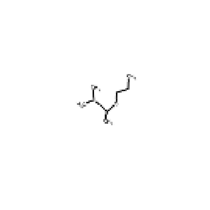 CC[CH]OC(C)N(C)C